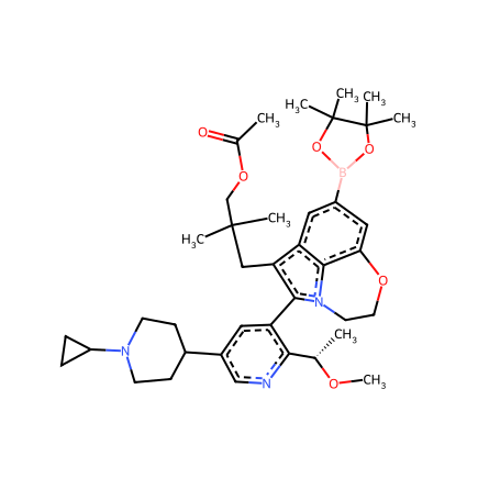 CO[C@@H](C)c1ncc(C2CCN(C3CC3)CC2)cc1-c1c(CC(C)(C)COC(C)=O)c2cc(B3OC(C)(C)C(C)(C)O3)cc3c2n1CCO3